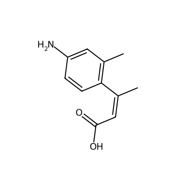 C/C(=C/C(=O)O)c1ccc(N)cc1C